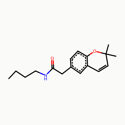 CCCCNC(=O)Cc1ccc2c(c1)C=CC(C)(C)O2